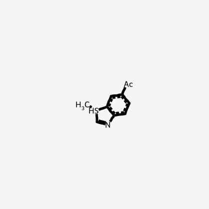 CC(=O)c1ccc2c(c1)[SH](C)C=N2